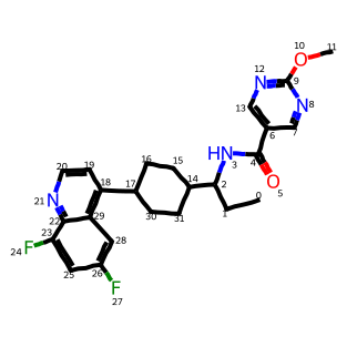 CCC(NC(=O)c1cnc(OC)nc1)C1CCC(c2ccnc3c(F)cc(F)cc23)CC1